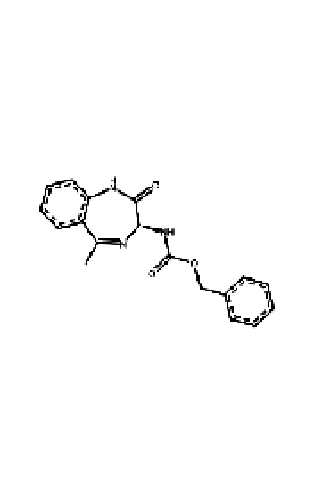 CC1=N[C@H](NC(=O)OCc2ccccc2)C(=O)Nc2ccccc21